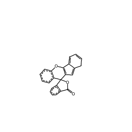 O=C1OC2(C3=C(Oc4ccccc42)C2=CC=CCC2=C3)c2ccccc21